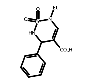 CCN1C=C(C(=O)O)C(c2ccccc2)NS1(=O)=O